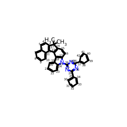 CC1(C)c2ccc3ccccc3c2-c2c1ccc1c2c2ccccc2n1-c1nc(-c2ccccc2)nc(-c2ccccc2)n1